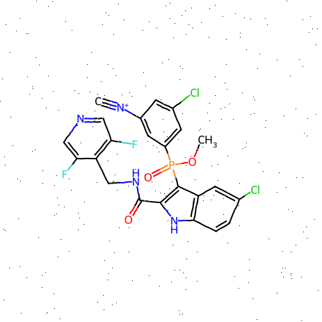 [C-]#[N+]c1cc(Cl)cc(P(=O)(OC)c2c(C(=O)NCc3c(F)cncc3F)[nH]c3ccc(Cl)cc23)c1